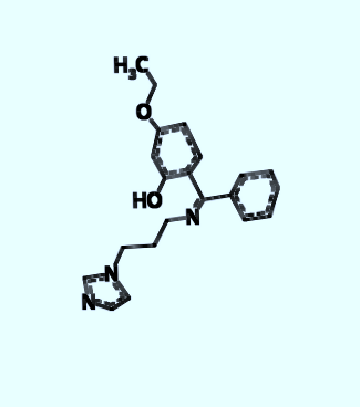 CCOc1ccc(/C(=N\CCCn2ccnc2)c2ccccc2)c(O)c1